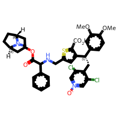 COc1ccc([C@H](Cc2c(Cl)c[n+]([O-])cc2Cl)c2cc(CNC(C(=O)OC3C[C@H]4CC[C@H](C3)N4C)c3ccccc3)sc2C(=O)O)cc1OC